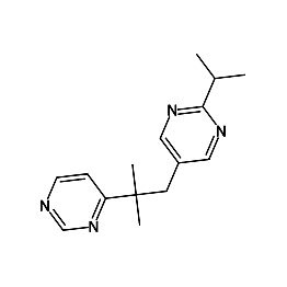 CC(C)c1ncc(CC(C)(C)c2ccncn2)cn1